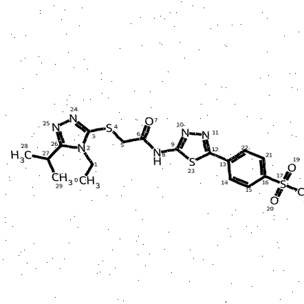 CCn1c(SCC(=O)Nc2nnc(-c3ccc(S(C)(=O)=O)cc3)s2)nnc1C(C)C